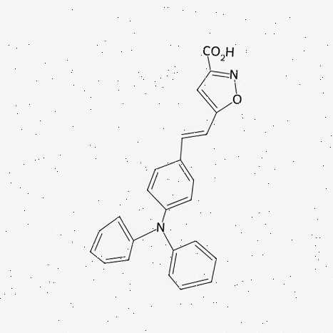 O=C(O)c1cc(/C=C/c2ccc(N(c3ccccc3)c3ccccc3)cc2)on1